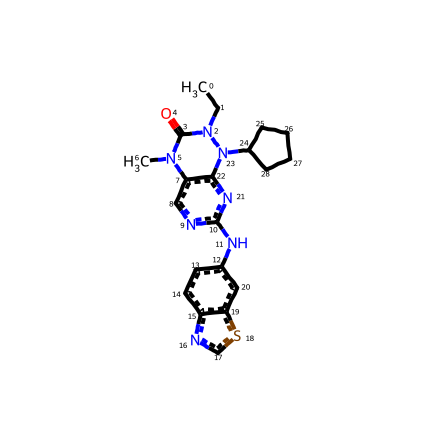 CCN1C(=O)N(C)c2cnc(Nc3ccc4ncsc4c3)nc2N1C1CCCC1